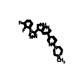 CN1CCCN(c2ccc(-c3cnc4c(c3)C(c3nncn3-c3cccc(F)c3F)CN4)cn2)CC1